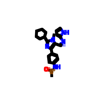 Cn1c(C2CCCCC2)nc(-c2ccc(N[S+](C)[O-])cc2)c1/C=N\c1ccc[nH]1